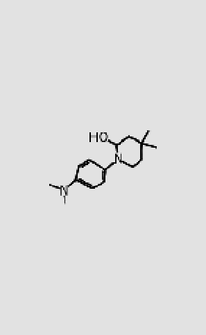 CN(C)c1ccc(N2CCC(C)(C)CC2O)cc1